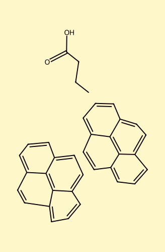 CCCC(=O)O.c1cc2ccc3cccc4ccc(c1)c2c34.c1cc2ccc3cccc4ccc(c1)c2c34